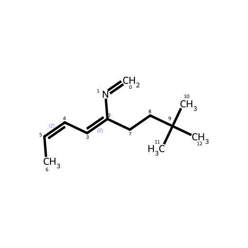 C=N/C(=C\C=C/C)CCC(C)(C)C